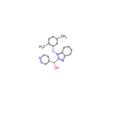 Cc1ccc(C)c(Cn2c(C(O)c3ccncc3)nc3ccccc32)c1